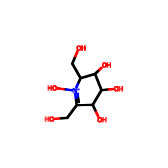 OCC1=[N+](O)C(CO)C(O)C(O)C1O